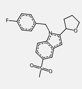 CS(=O)(=O)c1ccc2c(c1)cc(C1CCCO1)n2Cc1ccc(F)cc1